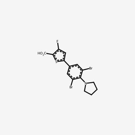 O=C(O)c1sc(-c2cc(Br)c(N3CCCC3)c(Br)c2)cc1F